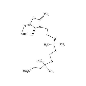 C=C1Sc2ccccc2N1CCOC(C)(C)CCOC(C)(C)CCC(=O)O